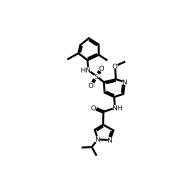 COc1ncc(NC(=O)c2cnn(C(C)C)c2)cc1S(=O)(=O)Nc1c(C)cccc1C